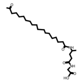 CC(=O)CCCCCCCCCCCCCCCCC(=O)NC(C)CCC(=O)NCC(=O)O